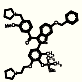 COc1cc(C(=O)c2c(-c3ccc(OCCN4CCCC4)c(O[Si](C)(C)C(C)(C)C)c3C)sc3cc(OCc4ccccc4)ccc23)ccc1CN1CCCC1